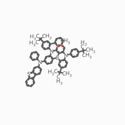 Cc1cc2c3c(c1)N(c1ccc(C(C)(C)C)cc1-c1ccccc1)c1cc(N(c4ccccc4)c4ccc5c(c4)sc4ccccc45)ccc1B3c1cc(C(C)(C)C)ccc1N2c1ccc(C(C)(C)C)cc1